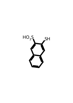 O=S(=O)(O)c1cc2ccccc2cc1S